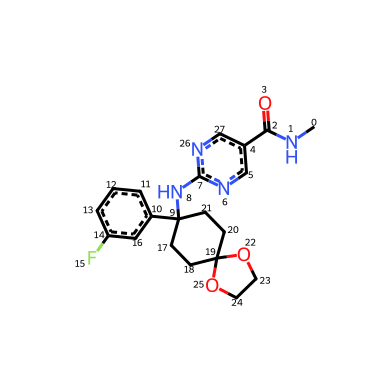 CNC(=O)c1cnc(NC2(c3cccc(F)c3)CCC3(CC2)OCCO3)nc1